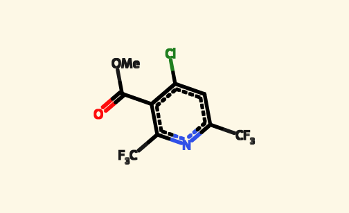 COC(=O)c1c(Cl)cc(C(F)(F)F)nc1C(F)(F)F